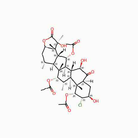 CC(=O)O[C@@H]1[C@H]2[C@H]3[C@H]([C@H](C)[C@H](OC(C)=O)[C@]2(C)[C@@H]2[C@@H]1[C@]1(C)C(C[C@H]2C)OC(=O)[C@@]1(C)O)[C@]1(C)[C@H](C[C@@H](O)[C@H](Cl)[C@@H]1OC(C)=O)C(=O)[C@@H]3O